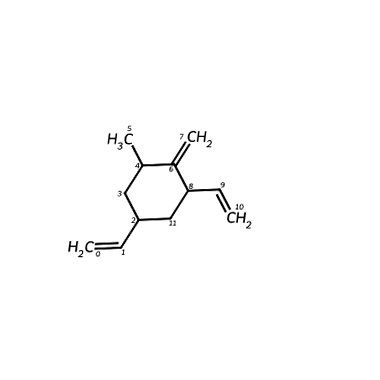 C=CC1CC(C)C(=C)C(C=C)C1